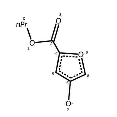 CCCOC(=O)c1cc([O])co1